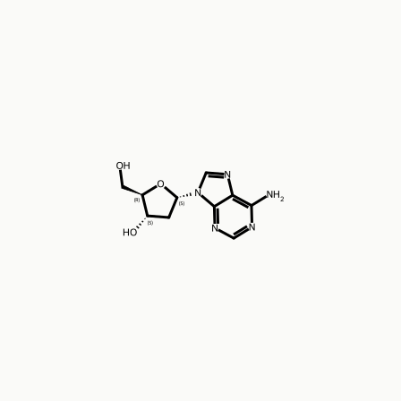 Nc1ncnc2c1ncn2[C@@H]1C[C@H](O)[C@@H](CO)O1